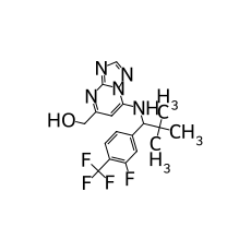 CC(C)(C)C(Nc1cc(CO)nc2ncnn12)c1ccc(C(F)(F)F)c(F)c1